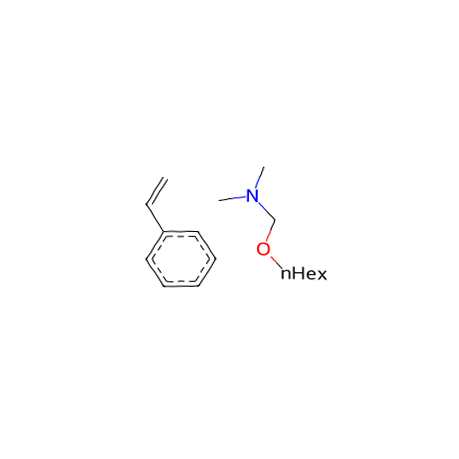 C=Cc1ccccc1.CCCCCCOCN(C)C